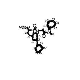 CN(C(=O)Cn1c(=O)n2c3c(cc(-c4ccccc4)cc31)CCC2CO)c1ccccc1